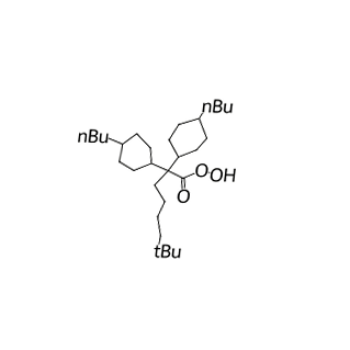 CCCCC1CCC(C(CCCCC(C)(C)C)(C(=O)OO)C2CCC(CCCC)CC2)CC1